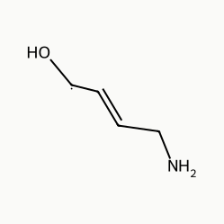 NCC=C[CH]O